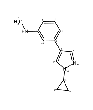 CNc1cccc(-c2cnn(C3CC3)c2)c1